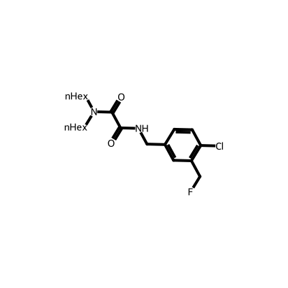 CCCCCCN(CCCCCC)C(=O)C(=O)NCc1ccc(Cl)c(CF)c1